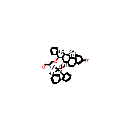 CC1[C@H](C(OCCC=O)c2ccccc2)[C@@H](CO[Si](c2ccccc2)(c2ccccc2)C(C)(C)C)[C@@H]2CCc3cc(Br)ccc3[C@H]2[C@@H]1C